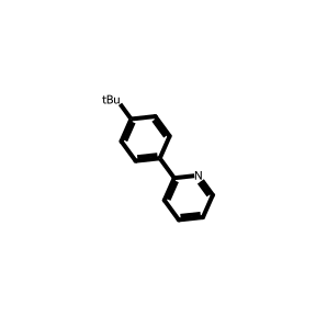 CC(C)(C)c1ccc(-c2ccccn2)cc1